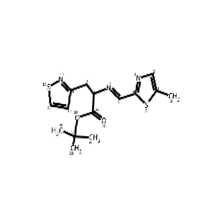 Cc1cnc(C=NC(Cc2ccsn2)C(=O)OC(C)(C)C)s1